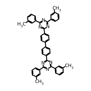 Cc1cccc(-c2nc(-c3ccc(-c4ccc(-c5nc(-c6cccc(C)c6)nc(-c6cccc(C)c6)n5)cc4)cc3)nc(-c3cccc(C)c3)n2)c1